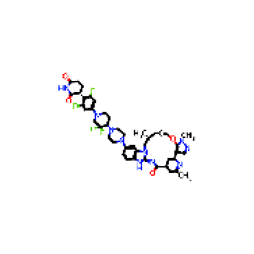 Cc1cc2cc(n1)-c1cnn(C)c1OCCC[C@@H](C)CN1/C(=N/C2=O)Nc2ccc(N3CCN([C@@H]4CCN(c5cc(F)c([C@H]6CCC(=O)NC6=O)c(F)c5)CC4(F)F)CC3)cc21